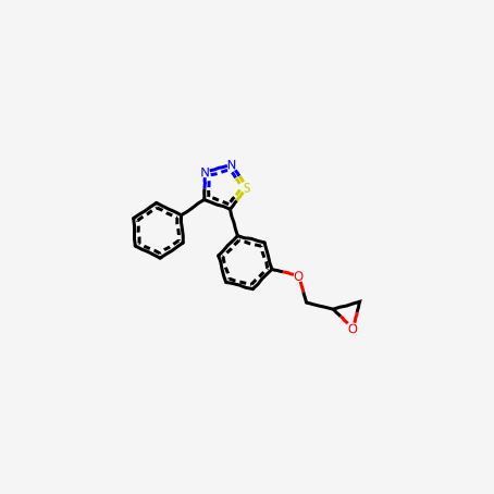 c1ccc(-c2nnsc2-c2cccc(OCC3CO3)c2)cc1